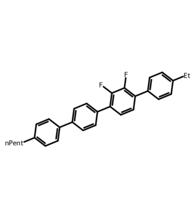 CCCCCc1ccc(-c2ccc(-c3ccc(-c4ccc(CC)cc4)c(F)c3F)cc2)cc1